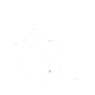 C1=C(c2ccccc2)CCC(N(c2ccccc2)c2ccc3c(-c4cccc5ccccc45)c4cc(N(c5ccccc5)c5ccc(-c6ccccc6)cc5)ccc4c(-c4cccc5ccccc45)c3c2)=C1